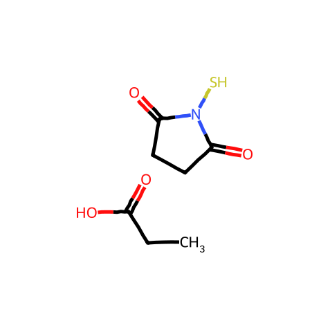 CCC(=O)O.O=C1CCC(=O)N1S